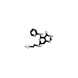 NCCNc1cc2nc[nH]c(=O)c2c(Nc2ccccn2)n1